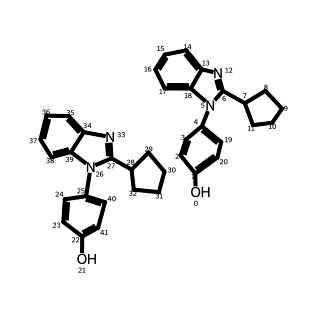 Oc1ccc(-n2c(C3CCCC3)nc3ccccc32)cc1.Oc1ccc(-n2c(C3CCCC3)nc3ccccc32)cc1